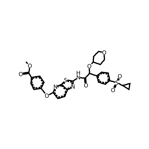 COC(=O)c1ccc(Oc2ccc3nc(NC(=O)C(OC4CCOCC4)c4ccc(S(=O)(=O)C5CC5)cc4)sc3n2)cc1